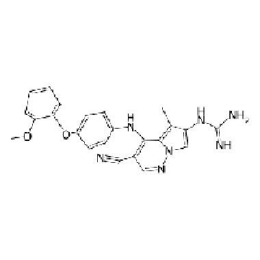 COc1ccccc1Oc1ccc(Nc2c(C#N)cnn3cc(NC(=N)N)c(C)c23)cc1